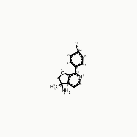 CC1(N)COc2c1ccnc2-c1ccc(F)cc1